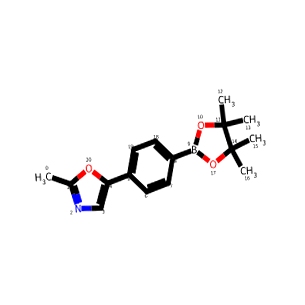 Cc1ncc(-c2ccc(B3OC(C)(C)C(C)(C)O3)cc2)o1